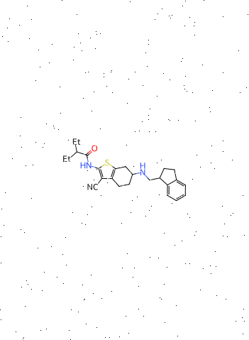 CCC(CC)C(=O)Nc1sc2c(c1C#N)CCC(NCC1CCc3ccccc31)C2